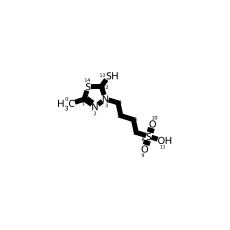 CC1=NN(CCCCS(=O)(=O)O)C(S)S1